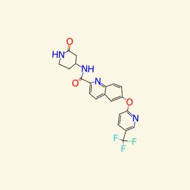 O=C1CC(NC(=O)c2ccc3cc(Oc4ccc(C(F)(F)F)cn4)ccc3n2)CCN1